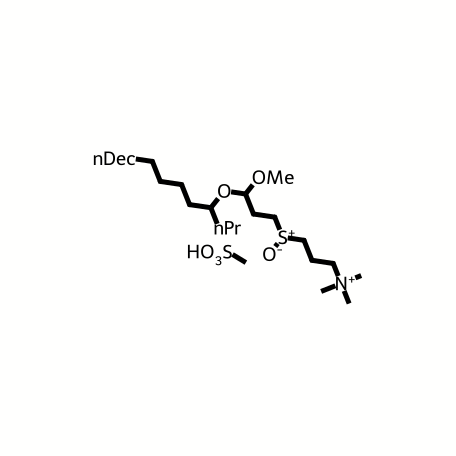 CCCCCCCCCCCCCCC(CCC)OC(CC[S+]([O-])CCC[N+](C)(C)C)OC.CS(=O)(=O)O